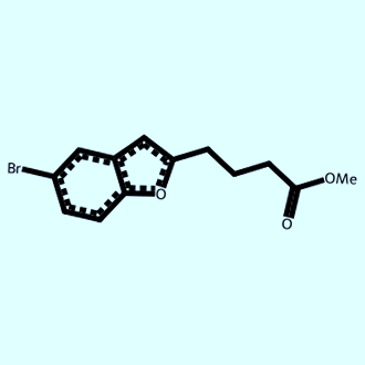 COC(=O)CCCc1cc2cc(Br)ccc2o1